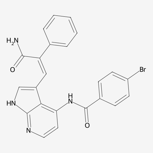 NC(=O)/C(=C\c1c[nH]c2nccc(NC(=O)c3ccc(Br)cc3)c12)c1ccccc1